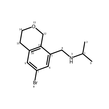 CC(C)NCc1cc(Br)cc2c1COCC2